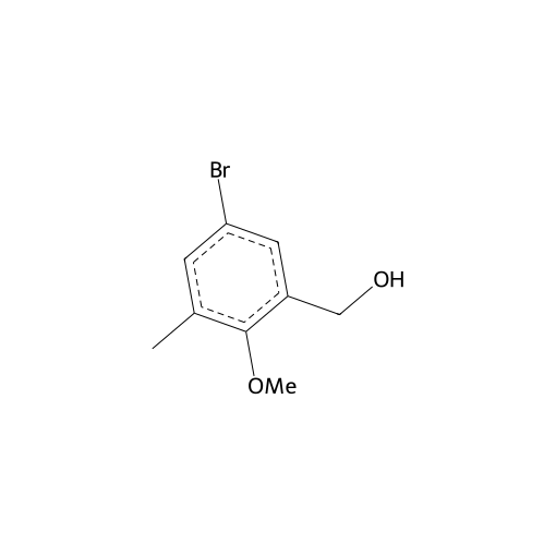 COc1c(C)cc(Br)cc1CO